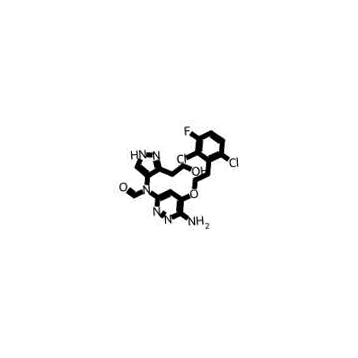 Nc1nnc(N(C=O)c2c[nH]nc2CCO)cc1OCCc1c(Cl)ccc(F)c1Cl